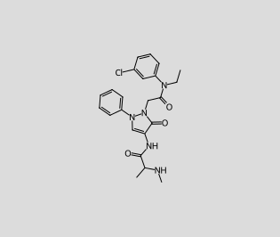 CCN(C(=O)Cn1c(=O)c(NC(=O)C(C)NC)cn1-c1ccccc1)c1cccc(Cl)c1